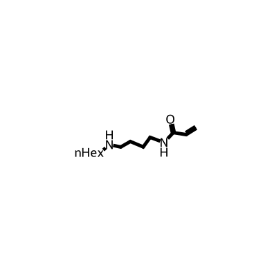 C=CC(=O)NCCCCNCCCCCC